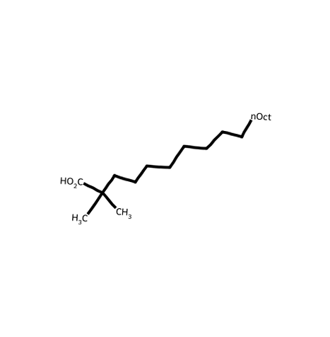 CCCCCCCCCCCCCCCCC(C)(C)C(=O)O